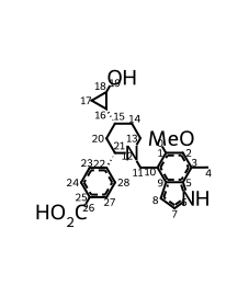 COc1cc(C)c2[nH]ccc2c1CN1CC[C@@H](C2CC2O)C[C@H]1c1ccc(C(=O)O)cc1